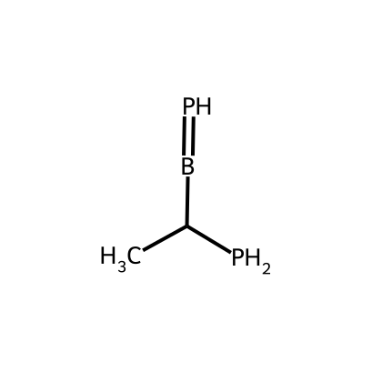 CC(P)B=P